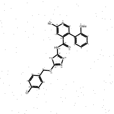 COc1ccccc1-c1cnc(C#N)cc1C(=O)Nc1nnc(OCc2ccc(Cl)cc2)s1